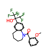 COc1ccccc1C(=O)N1CCCCc2cc(C(O)(C(F)(F)F)C(F)(F)F)ccc21